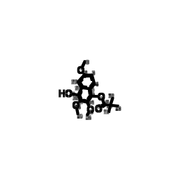 COc1ccc2c(OC(=O)C(C)(C)C)c(OC)c(OC)c(O)c2c1